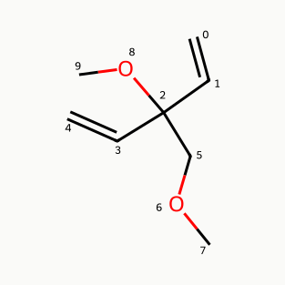 C=CC(C=C)(COC)OC